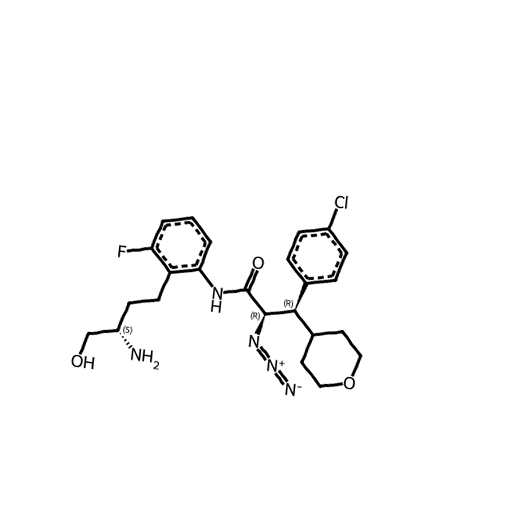 [N-]=[N+]=N[C@@H](C(=O)Nc1cccc(F)c1CC[C@H](N)CO)[C@@H](c1ccc(Cl)cc1)C1CCOCC1